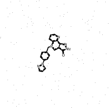 O=c1[nH]nc2c3ncccc3n(Cc3ccc(-n4cccn4)cc3)cc1-2